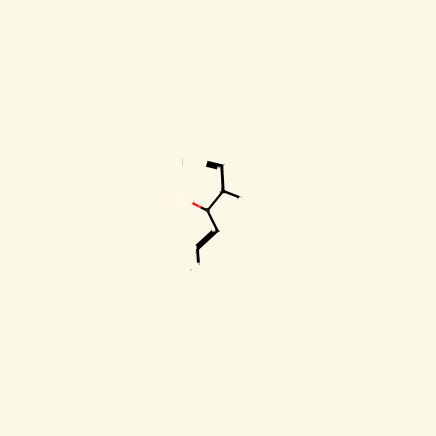 C=CC(C)C(O)C=CC